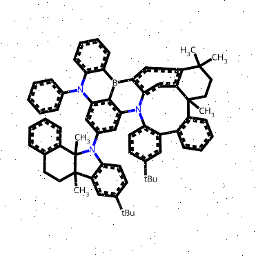 CC(C)(C)c1ccc2c(c1)-c1ccccc1C1(C)CCC(C)(C)c3cc4c(cc31)N2c1cc(N2c3ccc(C(C)(C)C)cc3C3(C)CCc5ccccc5C23C)cc2c1B4c1ccccc1N2c1ccccc1